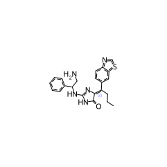 CCC/C(=C1/N=C(NC(CN)c2ccccc2)NC1=O)c1ccc2ncsc2c1